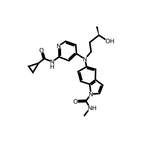 CNC(=O)n1ccc2cc(N(CC[C@@H](C)O)c3ccnc(NC(=O)C4CC4)c3)ccc21